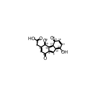 O=C(O)Cc1cc(=O)c2cc3c(O)ccc(=O)c-3c-2c1=O